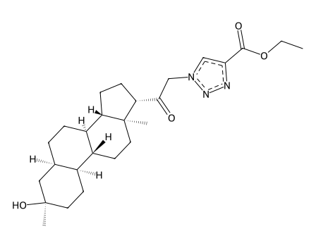 CCOC(=O)c1cn(CC(=O)[C@H]2CC[C@H]3[C@@H]4CC[C@@H]5C[C@](C)(O)CC[C@@H]5[C@H]4CC[C@]23C)nn1